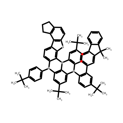 CC(C)(C)c1ccc(N2c3cc(C(C)(C)C)cc4c3B(c3cc(C(C)(C)C)ccc3N4c3ccc(C(C)(C)C)cc3-c3ccc4c(c3)C(C)(C)c3ccccc3-4)c3c2ccc2c3sc3ccc4c(c32)CCC4)cc1